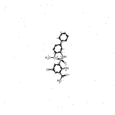 COc1ccc(-c2ccccc2)cc1NS(=O)(=O)c1cc(Cl)cc(C(=O)O)c1O